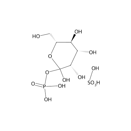 O=P(O)(O)OC1(O)O[C@H](CO)[C@@H](O)[C@H](O)[C@@H]1O.O=S(=O)(O)O